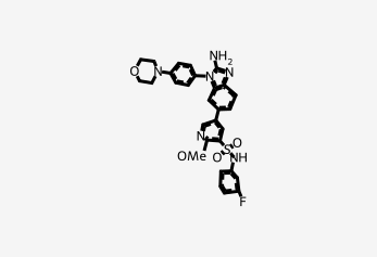 COc1ncc(-c2ccc3nc(N)n(-c4ccc(N5CCOCC5)cc4)c3c2)cc1S(=O)(=O)Nc1cccc(F)c1